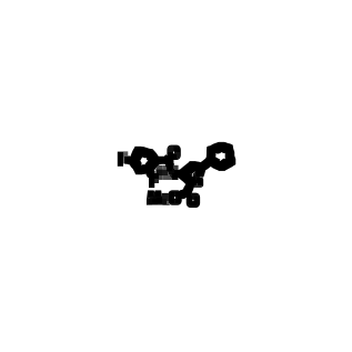 COC(=O)c1sc(-c2ccccc2)cc1NC(=O)c1ccc(F)cc1F